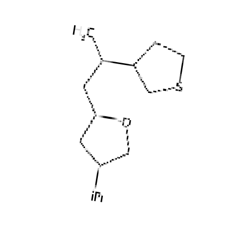 CC(C)C1COC(CC(C)C2CCSC2)C1